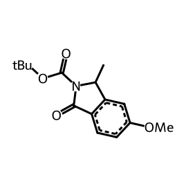 COc1ccc2c(c1)C(C)N(C(=O)OC(C)(C)C)C2=O